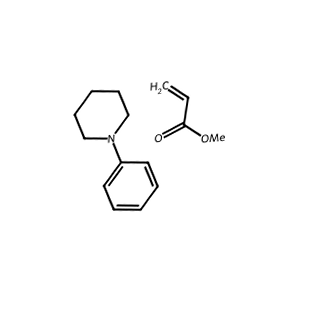 C=CC(=O)OC.c1ccc(N2CCCCC2)cc1